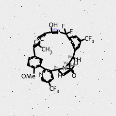 COc1ccc2cc1-c1ncc(C(F)(F)F)cc1[C@@H]1C=C[C@H]3[C@H](OC(=O)N13)c1cc(C(F)(F)F)cc(c1)C(F)(F)/P=C(/O)c1ccc-2c(C)c1